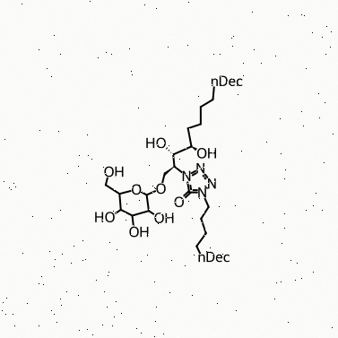 CCCCCCCCCCCCCC[C@@H](O)[C@@H](O)[C@H](COC1OC(CO)C(O)C(O)C1O)n1nnn(CCCCCCCCCCCCCC)c1=O